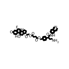 C[C@]12C[C@H](O)[C@@]3(F)[C@@H](C[C@H](F)C4=CC(=O)C=C[C@@]43C)[C@@H]1CC[C@@H]2C(=O)COC(=O)CCC(=O)OCc1ccc(C(CCN)C(=O)Nc2ccc3cnccc3c2)cc1